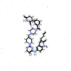 C=CCCC1=Cc2cc(Nc3nc(N4CCC(CN5CCN(C(=C)c6cccc(C7CCC(=C)NC7=C)c6)CC5)CC4)ncc3Cl)ccc2N(C)C1=C